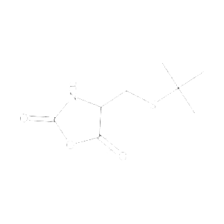 CC(C)(C)SCC1NC(=O)OC1=O